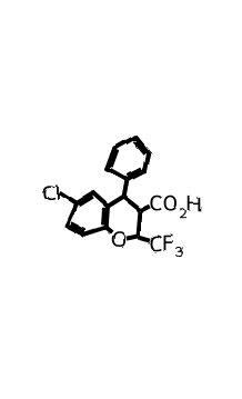 O=C(O)C1C(c2ccccc2)c2cc(Cl)ccc2OC1C(F)(F)F